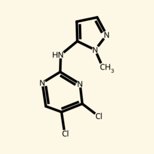 Cn1nccc1Nc1ncc(Cl)c(Cl)n1